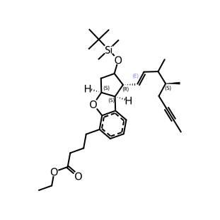 CC#CC[C@H](C)C(C)/C=C/[C@H]1C(O[Si](C)(C)C(C)(C)C)C[C@@H]2Oc3c(CCCC(=O)OCC)cccc3[C@@H]21